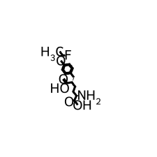 CC(F)Oc1ccc(C[C@H](CC[C@H](N)C(=O)O)C(=O)O)cc1